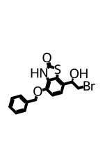 O=c1[nH]c2c(OCc3ccccc3)ccc([C@@H](O)CBr)c2s1